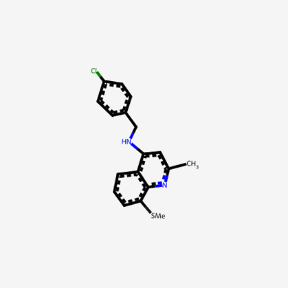 CSc1cccc2c(NCc3ccc(Cl)cc3)cc(C)nc12